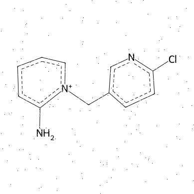 Nc1cccc[n+]1Cc1ccc(Cl)nc1